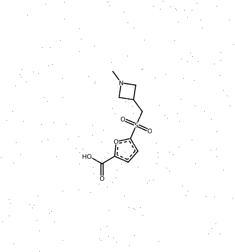 CN1CC(CS(=O)(=O)c2ccc(C(=O)O)o2)C1